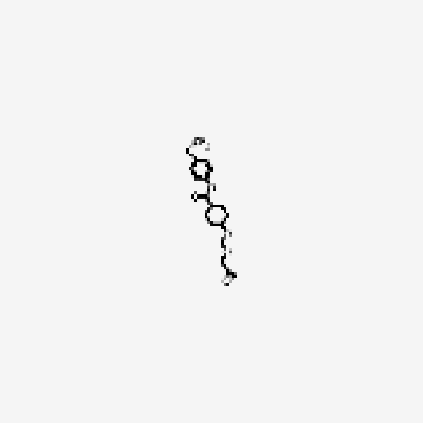 O=C(Oc1ccc(OC(F)(F)F)cc1)C1CCC(OCOCC2CO2)CC1